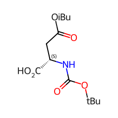 CC(C)COC(=O)C[C@H](NC(=O)OC(C)(C)C)C(=O)O